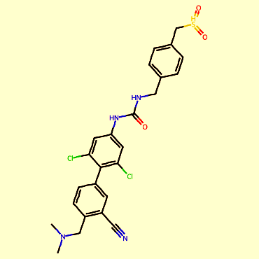 CN(C)Cc1ccc(-c2c(Cl)cc(NC(=O)NCc3ccc(C[SH](=O)=O)cc3)cc2Cl)cc1C#N